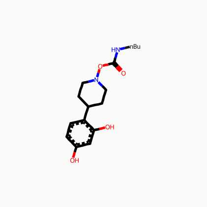 CCCCNC(=O)ON1CCC(c2ccc(O)cc2O)CC1